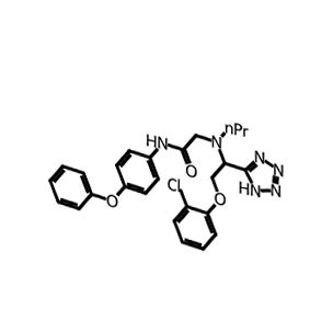 CCCN(CC(=O)Nc1ccc(Oc2ccccc2)cc1)C(COc1ccccc1Cl)c1nnn[nH]1